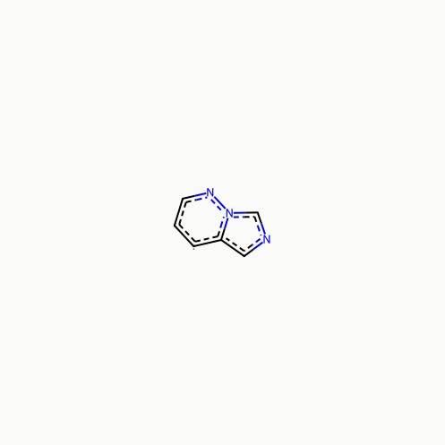 [c]1ccnn2cncc12